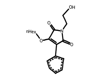 CCCCCCOC1=C(c2ccccc2)C(=O)N(CCO)C1=O